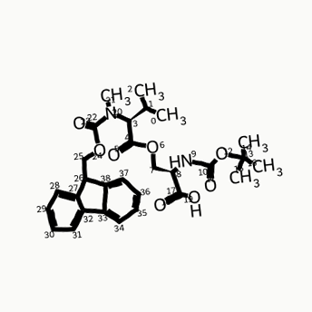 CC(C)[C@@H](C(=O)OC[C@@H](NC(=O)OC(C)(C)C)C(=O)O)N(C)C(=O)OCC1c2ccccc2-c2ccccc21